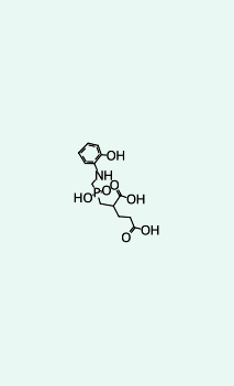 O=C(O)CCC(CP(=O)(O)CNc1ccccc1O)C(=O)O